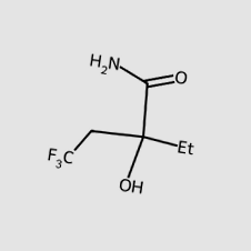 CCC(O)(CC(F)(F)F)C(N)=O